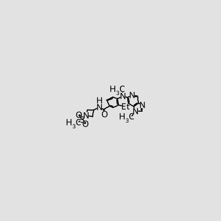 CCc1cc(C(=O)NC2CN(S(C)(=O)=O)C2)ccc1N(C)c1cc2c(cn1)ncn2C